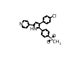 CS(=O)(=O)c1ccc(-c2[nH]c(-c3ccncc3)cc2-c2ccc(Cl)cc2)cc1